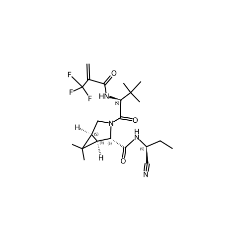 C=C(C(=O)N[C@H](C(=O)N1C[C@H]2[C@@H]([C@H]1C(=O)N[C@H](C#N)CC)C2(C)C)C(C)(C)C)C(F)(F)F